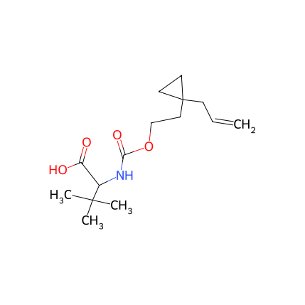 C=CCC1(CCOC(=O)NC(C(=O)O)C(C)(C)C)CC1